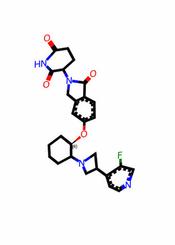 O=C1CCC(N2Cc3cc(O[C@@H]4CCCCC4N4CC(c5ccncc5F)C4)ccc3C2=O)C(=O)N1